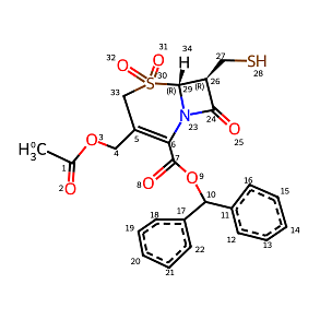 CC(=O)OCC1=C(C(=O)OC(c2ccccc2)c2ccccc2)N2C(=O)[C@H](CS)[C@H]2S(=O)(=O)C1